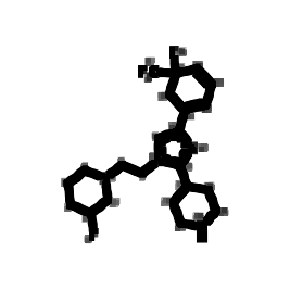 FC1CCCN(CCn2cc(C3=CC=CC(F)(C(F)(F)F)C3)nc2C2CCNCC2)C1